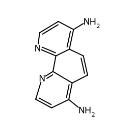 Nc1ccnc2c1ccc1c(N)ccnc12